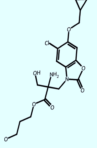 NC(CO)(Cn1c(=O)oc2cc(OCC3CC3)c(Cl)cc21)C(=O)OCCCO